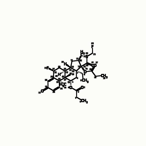 CCC(=O)O[C@H]1C[C@@]2(CC)[C@@H](C[C@@H](C)[C@]2(OC(=O)CC)C(=O)SCF)[C@@H]2C[C@H](F)C3=CC(=O)C=C[C@]3(C)[C@@]12F